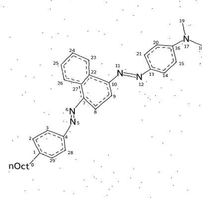 CCCCCCCCc1ccc(N=Nc2ccc(N=Nc3ccc(N(C)C)cc3)c3ccccc23)cc1